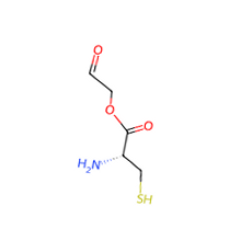 N[C@@H](CS)C(=O)OCC=O